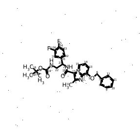 Cc1nc2c(OCc3ccccc3)cccn2c1C(=O)NC(CNC(=O)OC(C)(C)C)c1ccc(F)c(F)c1